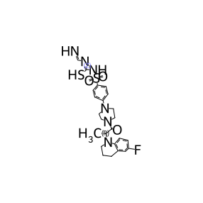 C[C@H](C(=O)N1CCN(c2ccc(S(=O)(=O)N/C(S)=N/C=N)cc2)CC1)N1CCCc2cc(F)ccc21